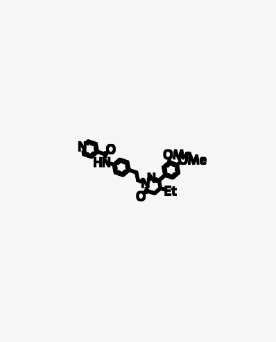 CCC1CC(=O)N(CCc2ccc(NC(=O)c3ccncc3)cc2)N=C1c1ccc(OC)c(OC)c1